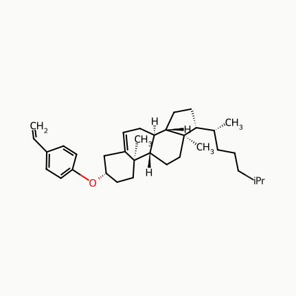 C=Cc1ccc(O[C@H]2CC[C@@]3(C)C(=CC[C@H]4[C@@H]5CC[C@H]([C@H](C)CCCC(C)C)[C@@]5(C)CC[C@@H]43)C2)cc1